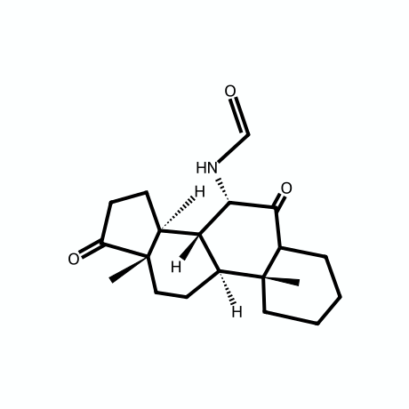 C[C@]12CCCCC1C(=O)[C@@H](NC=O)[C@@H]1[C@@H]2CC[C@]2(C)C(=O)CC[C@@H]12